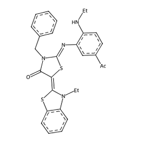 CCNc1ccc(C(C)=O)cc1N=C1SC(=C2Sc3ccccc3N2CC)C(=O)N1Cc1ccccc1